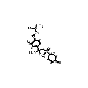 CC(=O)OOc1ccc(C(C)(N)CS(=O)(=O)c2ccc(Cl)cc2)cc1F